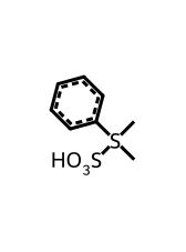 CS(C)(c1ccccc1)S(=O)(=O)O